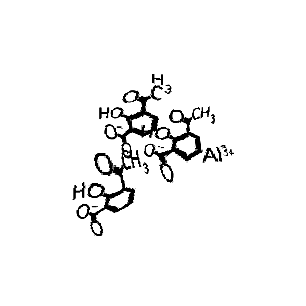 CC(=O)c1cccc(C(=O)[O-])c1O.CC(=O)c1cccc(C(=O)[O-])c1O.CC(=O)c1cccc(C(=O)[O-])c1O.[Al+3]